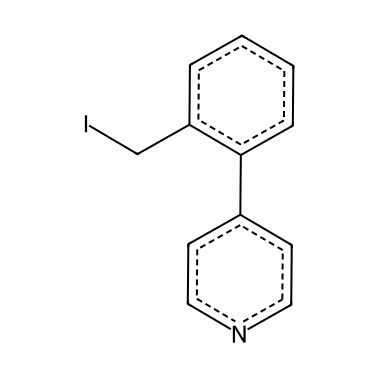 ICc1ccccc1-c1ccncc1